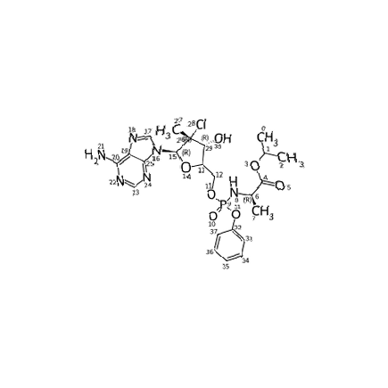 CC(C)OC(=O)[C@@H](C)NP(=O)(OCC1O[C@@H](n2cnc3c(N)ncnc32)[C@](C)(Cl)[C@@H]1O)Oc1ccccc1